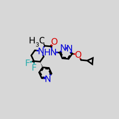 C[C@@H](C(=O)Nc1ccc(OCC2CC2)nn1)N1CCC(F)(F)[C@@H](c2ccncc2)C1